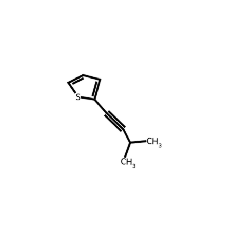 CC(C)C#Cc1cccs1